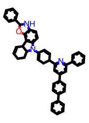 C1=CC2c3c(ccc4c3OC(c3ccccc3)N4)N(C3=CCC(c4cc(-c5ccc(-c6ccccc6)cc5)cc(-c5ccccc5)n4)C=C3)C2CC1